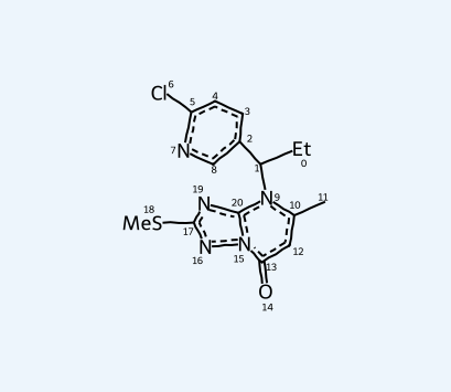 CCC(c1ccc(Cl)nc1)n1c(C)cc(=O)n2nc(SC)nc12